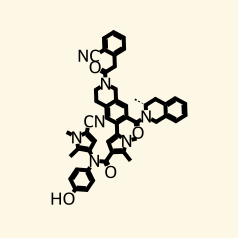 Cc1c(N(C(=O)c2cc(-c3cc4c(cc3C(=O)N3Cc5ccccc5C[C@H]3C)CN(C(=O)Cc3ccccc3C#N)CC4)n(C)c2C)c2ccc(O)cc2)cc(C#N)n1C